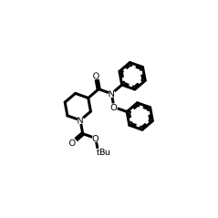 CC(C)(C)OC(=O)N1CCCC(C(=O)N(Oc2ccccc2)c2ccccc2)C1